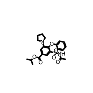 CC(=O)NS(=O)(=O)c1cc(C(=O)OC(C)C)cc(N2CCCC2)c1Oc1ccccc1